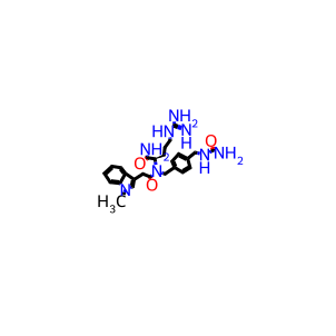 Cn1cc(CC(=O)N(Cc2ccc(CNC(N)=O)cc2)[C@H](CCCNC(=N)N)C(N)=O)c2ccccc21